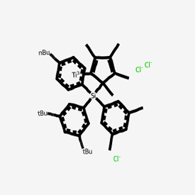 CCCCc1ccc([Si](c2cc(C)cc(C)c2)(c2cc(C(C)(C)C)cc(C(C)(C)C)c2)C2(C)C(C)=C(C)C(C)=[C]2[Ti+3])cc1.[Cl-].[Cl-].[Cl-]